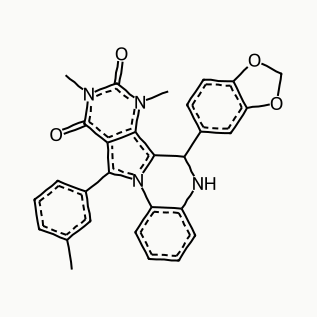 Cc1cccc(-c2c3c(=O)n(C)c(=O)n(C)c3c3n2-c2ccccc2NC3c2ccc3c(c2)OCO3)c1